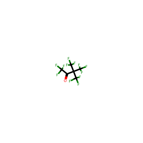 O=C(C(F)(F)F)C(C(F)(F)F)(C(F)(F)F)C(F)(F)F